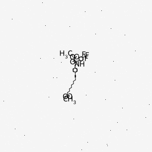 CCOC(=O)C(=O)C(NCc1ccc(C#CCCCCCCCCC(=O)OC)cc1)c1ccc(C(F)(F)F)cc1